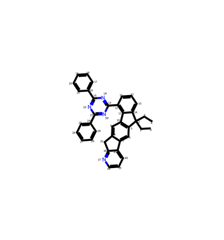 CCC1(CC)c2cc3c(cc2-c2c(-c4nc(-c5ccccc5)nc(-c5ccccc5)n4)cccc21)Cc1ncccc1-3